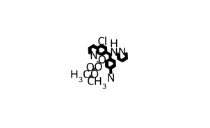 CC(C)OC(=O)OCOc1c(C(Nc2ccccn2)c2ccc(C#N)cc2)cc(Cl)c2cccnc12